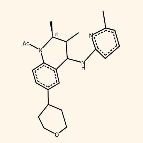 CC(=O)N1c2ccc(C3CCOCC3)cc2C(Nc2cccc(C)n2)C(C)[C@@H]1C